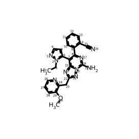 CCn1nccc1-c1c(-c2ccccc2C#N)nc(N)n2nc(Cc3ncccc3OC)nc12